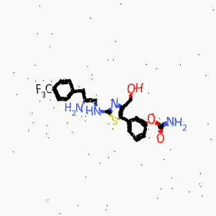 NC(=O)Oc1cccc(-c2sc(NC[C@@H](N)Cc3ccc(C(F)(F)F)cc3)nc2CO)c1